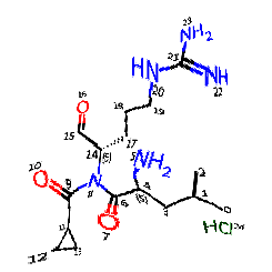 CC(C)C[C@H](N)C(=O)N(C(=O)C1CC1)[C@H](C=O)CCCNC(=N)N.Cl